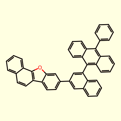 c1ccc(-c2c3ccccc3c(-c3cc(-c4ccc5c(c4)oc4c6ccccc6ccc54)cc4ccccc34)c3ccccc23)cc1